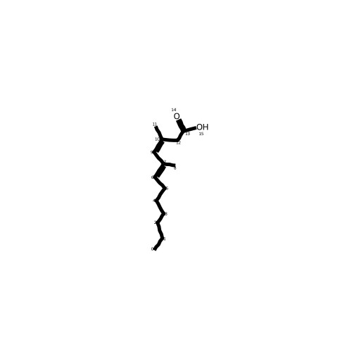 CCCCCC/C=C(C)/C=C(/C)CC(=O)O